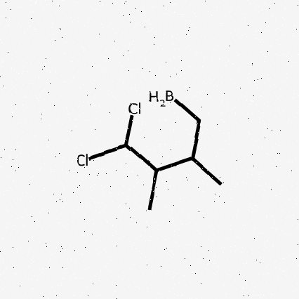 BCC(C)C(C)C(Cl)Cl